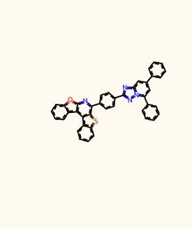 c1ccc(-c2cc(-c3ccccc3)n3nc(-c4ccc(-c5nc6oc7ccccc7c6c6c5sc5ccccc56)cc4)nc3c2)cc1